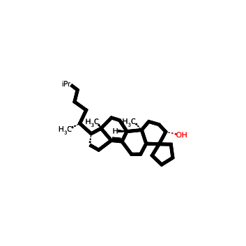 CC(C)CCC[C@@H](C)[C@H]1CCC2=C3CCC4C5(CCCC5)[C@@H](O)CC[C@]4(C)[C@H]3CC[C@@]21C